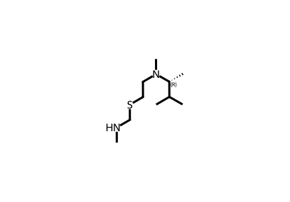 CNCSCCN(C)[C@H](C)C(C)C